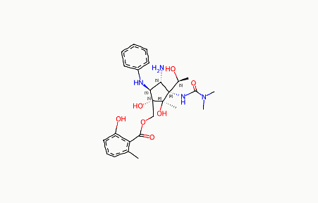 Cc1cccc(O)c1C(=O)OC[C@@]1(O)[C@@H](Nc2ccccc2)[C@H](N)[C@@](NC(=O)N(C)C)([C@H](C)O)[C@@]1(C)O